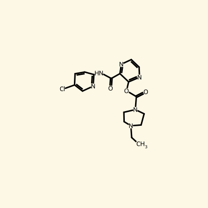 CCN1CCN(C(=O)Oc2nccnc2C(=O)Nc2ccc(Cl)cn2)CC1